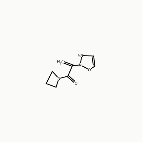 C=C(C(=O)N1CCC1)N1NC=CO1